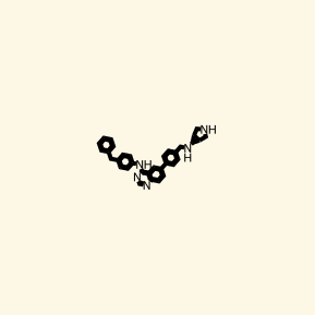 c1ccc(Cc2ccc(Nc3ncnc4ccc(-c5ccc(CNC6C7CNCC76)cc5)cc34)cc2)cc1